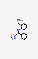 COCc1ccccc1/N=C(/C1=NCCO1)c1ccccc1